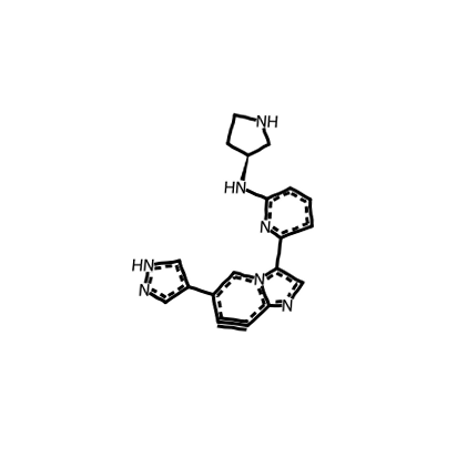 c1c(-c2cn[nH]c2)cn2c(-c3cccc(N[C@H]4CCNC4)n3)cnc2c#1